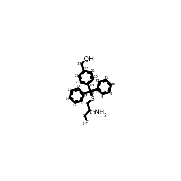 N[C@H](CF)CSC(c1ccccc1)(c1ccccc1)c1ccc(CO)cc1